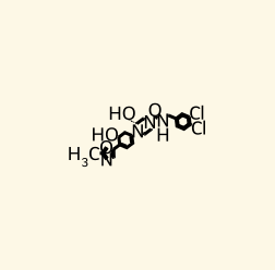 Cc1ncc(C2=CC=C(N3CCN(C(=O)NCc4ccc(Cl)c(Cl)c4)C[C@H]3CO)CC2O)o1